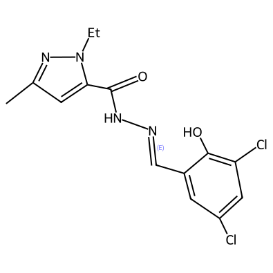 CCn1nc(C)cc1C(=O)N/N=C/c1cc(Cl)cc(Cl)c1O